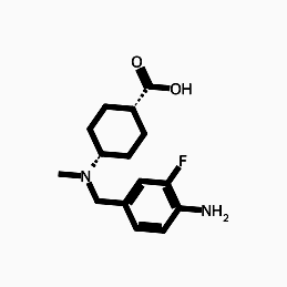 CN(Cc1ccc(N)c(F)c1)[C@H]1CC[C@@H](C(=O)O)CC1